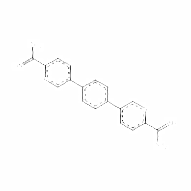 N=C(N)c1ccc(-c2ccc(-c3ccc(C(=N)N)nc3)cc2)cn1